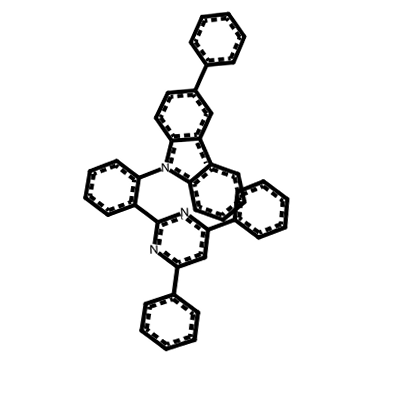 c1ccc(-c2ccc3c(c2)c2ccccc2n3-c2ccccc2-c2nc(-c3ccccc3)cc(-c3ccccc3)n2)cc1